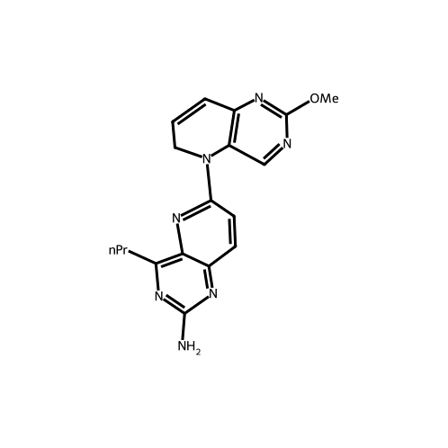 CCCc1nc(N)nc2ccc(N3CC=Cc4nc(OC)ncc43)nc12